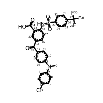 CN(c1ccc(Cl)cc1)c1ccc(C(=O)c2ccc(NS(=O)(=O)c3ccc(C(F)(F)F)cc3)c(C(=O)O)c2)nc1